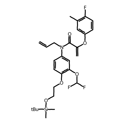 C=CCN(C(=O)C(=C)Oc1ccc(F)c(C)c1)c1ccc(OCCO[Si](C)(C)C(C)(C)C)c(OC(F)F)c1